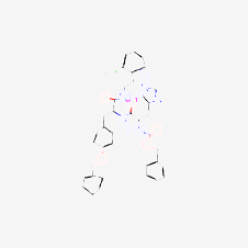 O=C(NC(Cc1c[nH]cn1)C(=O)N=C(Cc1ccc(OCc2ccccc2)cc1)C(=O)NCCc1ccccc1Cl)OCc1ccccc1